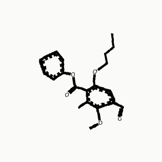 CCCCOc1cc(C=O)c(OC)c(C)c1C(=O)Oc1ccccc1